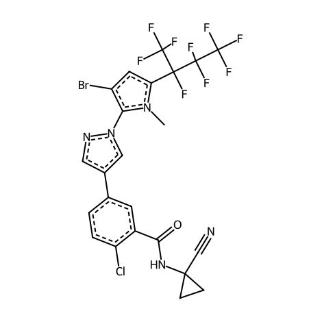 Cn1c(C(F)(C(F)(F)F)C(F)(F)C(F)(F)F)cc(Br)c1-n1cc(-c2ccc(Cl)c(C(=O)NC3(C#N)CC3)c2)cn1